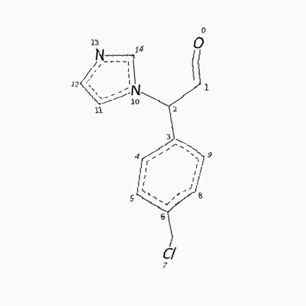 O=CC(c1ccc(Cl)cc1)n1ccnc1